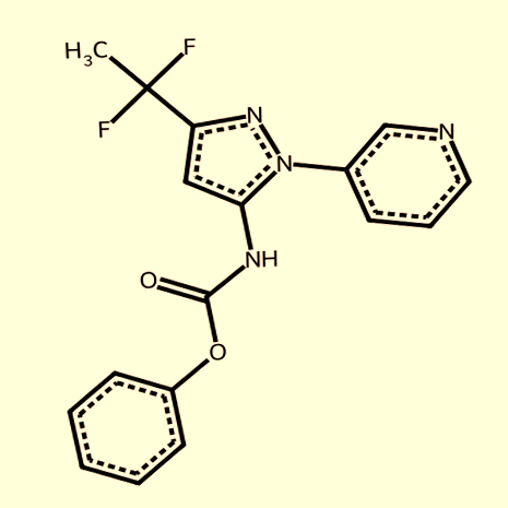 CC(F)(F)c1cc(NC(=O)Oc2ccccc2)n(-c2cccnc2)n1